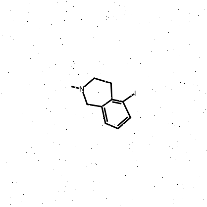 CN1CCc2c(I)cccc2C1